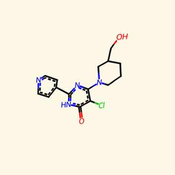 O=c1[nH]c(-c2ccncc2)nc(N2CCCC(CO)C2)c1Cl